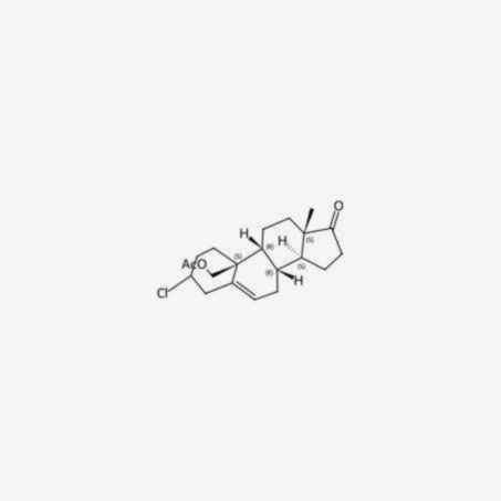 CC(=O)OC[C@]12CCC(Cl)CC1=CC[C@@H]1[C@H]2CC[C@]2(C)C(=O)CC[C@@H]12